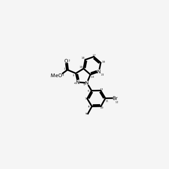 COC(=O)c1nn(-c2cc(C)cc(Br)c2)c2ncccc12